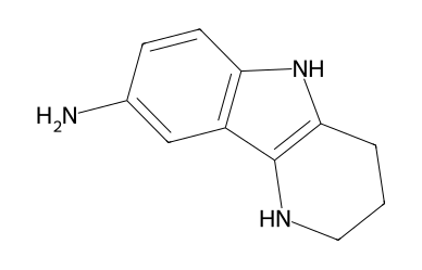 Nc1ccc2[nH]c3c(c2c1)NCCC3